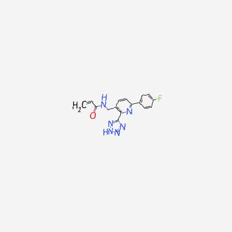 C=CC(=O)NCc1ccc(-c2ccc(F)cc2)nc1-c1nn[nH]n1